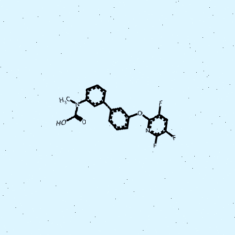 CN(C(=O)O)c1cccc(-c2cccc(Oc3nc(F)c(F)cc3F)c2)c1